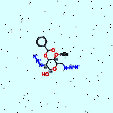 CCCCO[C@H]1C(CN=[N+]=[N-])O[C@H](O)[C@@H](N=[N+]=[N-])C1OC(=O)c1ccccc1